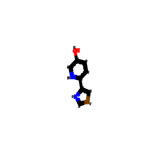 Oc1c[c]c(-c2cscn2)nc1